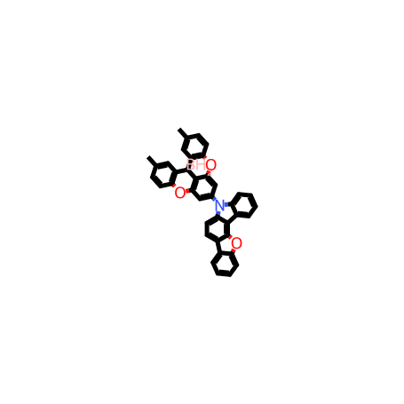 BC12c3cc(C)ccc3Oc3cc(-n4c5ccccc5c5c6oc7ccccc7c6ccc54)cc(c31)Oc1ccc(C)cc12